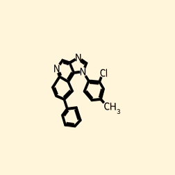 Cc1ccc(-n2cnc3cnc4ccc(-c5ccccc5)cc4c32)c(Cl)c1